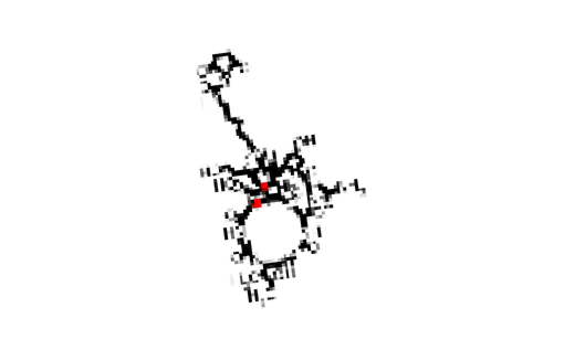 CC[C@H](C)[C@@H]1NC(=O)CNC(=O)C2Cc3c([nH]c4cc(OCCCCCCNC(=O)ON5C(=O)CCC5=O)ccc34)[S+]([O-])CC(NC(=O)CNC1=O)C(=O)N[C@@H](CC(N)=O)C(=O)N1CC(O)CC1C(=O)N[C@@H]([C@@H](C)[C@@H](O)CO)C(=O)N2